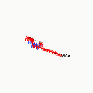 CCC(=O)O[C@]1(C(=O)COCNC(=O)CNC(=O)[C@H](Cc2ccccc2)NC(=O)CNC(=O)CNC(=O)[C@H](CCCCNC(=O)CCOCCOCCOCCOCCOCCOCCOCCOCCOCCOCCOCCOC)NC(=O)CCN2C(=O)C(Br)=C(Br)C2=O)[C@@H](C)CC2[C@@H]3CCC4=CC(=O)C=C[C@]4(C)[C@@]3(Cl)[C@@H](O)C[C@@]21C